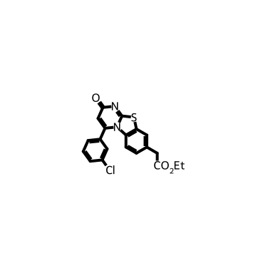 CCOC(=O)Cc1ccc2c(c1)sc1nc(=O)cc(-c3cccc(Cl)c3)n12